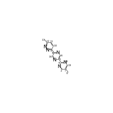 Cc1cnc(-c2cnc(-c3ccc(C)nn3)cn2)nc1